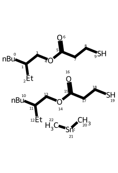 CCCCC(CC)COC(=O)CCS.CCCCC(CC)COC(=O)CCS.[CH3][Sn][CH3]